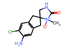 C[N+]1([O-])C(=O)NCC12Cc1cc(N)c(Cl)cc1C2